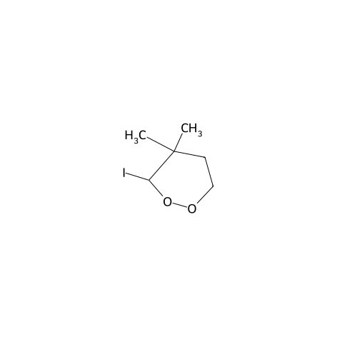 CC1(C)CCOOC1I